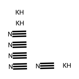 C#N.C#N.C#N.C#N.C#N.[KH].[KH].[KH]